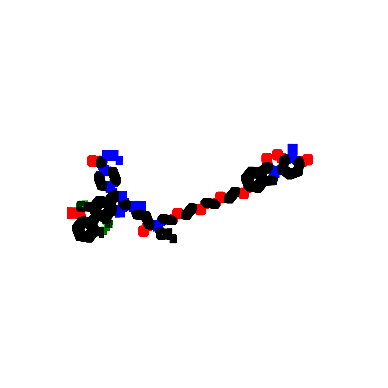 CN(CCOCCOCCOCCOc1ccc2c(c1)CN(C1CCC(=O)NC1=O)C2=O)C(=O)CCNc1nc(N2CCN(C(N)=O)CC2)c2cc(Cl)c(-c3c(O)cccc3F)c(F)c2n1